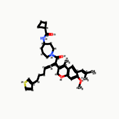 COc1cc2c(cc1C=C(C)C)C(C)=C(C(=C=CCCCc1ccsc1)C(=O)N1CCCC(NC(=O)C3CCC3)CC1)CO2